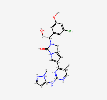 COc1cc(F)cc([C@@H](CO)N2Cc3cc(-c4nc(Nc5ccnn5C)ncc4C)cn3C2=O)c1